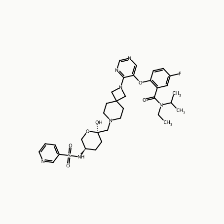 CCN(C(=O)c1cc(F)ccc1Oc1cncnc1N1CC2(CCN(C[C@@]3(O)CC[C@@H](NS(=O)(=O)c4cccnc4)CO3)CC2)C1)C(C)C